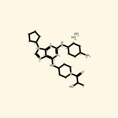 CC(O)C(=O)N1CCC(Nc2nc(NC3CCC(N)CC3)nc3c2ncn3C2CCCC2)CC1.Cl.Cl